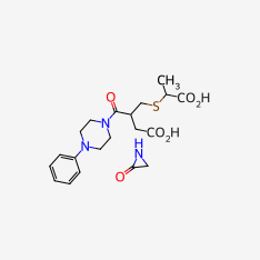 CC(SCC(CC(=O)O)C(=O)N1CCN(c2ccccc2)CC1)C(=O)O.O=C1CN1